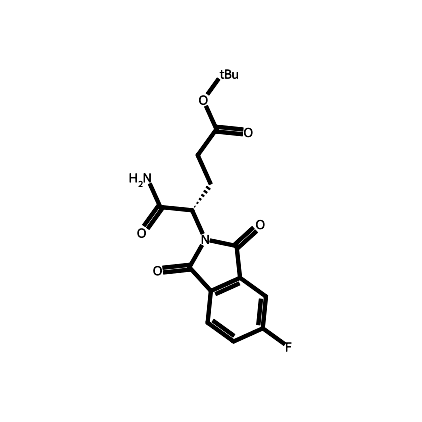 CC(C)(C)OC(=O)CC[C@@H](C(N)=O)N1C(=O)c2ccc(F)cc2C1=O